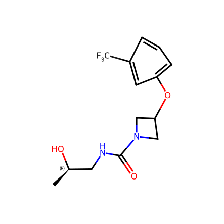 C[C@@H](O)CNC(=O)N1CC(Oc2cccc(C(F)(F)F)c2)C1